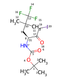 CC(C)(C)OC(=O)N[C@@H](CC(C)(C)C(F)(F)F)C(=O)CI